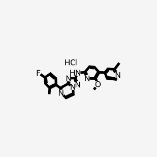 COc1nc(Nc2nc3c(-c4ccc(F)cc4C)nccn3n2)ccc1-c1ccnc(C)c1.Cl